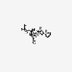 O=CCCS(=O)(=O)C(C(=O)NCC(=O)NC1CC1)c1nc2c(F)cc(-c3cccnc3F)cc2s1